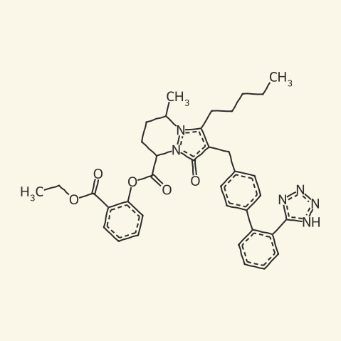 CCCCCc1c(Cc2ccc(-c3ccccc3-c3nnn[nH]3)cc2)c(=O)n2n1C(C)CCC2C(=O)Oc1ccccc1C(=O)OCC